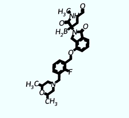 BC(CCC=O)(C(=O)NC)N1Cc2c(OCc3cccc(CN4CC(C)OC(C)C4)c3F)cccc2C1=O